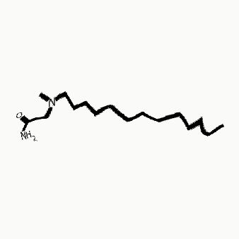 CCCCCCCCCCCCCN(C)CC(N)=O